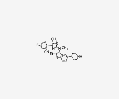 CCc1nc2ccc(C3CCNCC3)cn2c1N(C)c1nc(-c2ccc(F)cc2C#N)c(C)s1